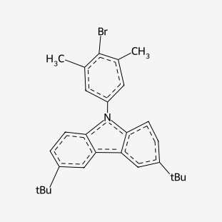 Cc1cc(-n2c3ccc(C(C)(C)C)cc3c3cc(C(C)(C)C)ccc32)cc(C)c1Br